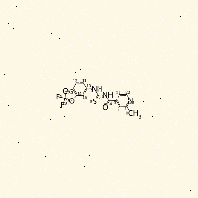 Cc1cc(C(=O)NC(=S)Nc2ccc3c(c2)OC(F)(F)O3)ccn1